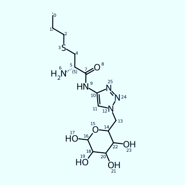 [CH2][CH]CSC[C@@H](N)C(=O)Nc1cn(CC2OC(O)C(O)C(O)C2O)nn1